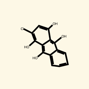 Oc1cc(Cl)c(O)c2c(O)c3ccccc3c(O)c12